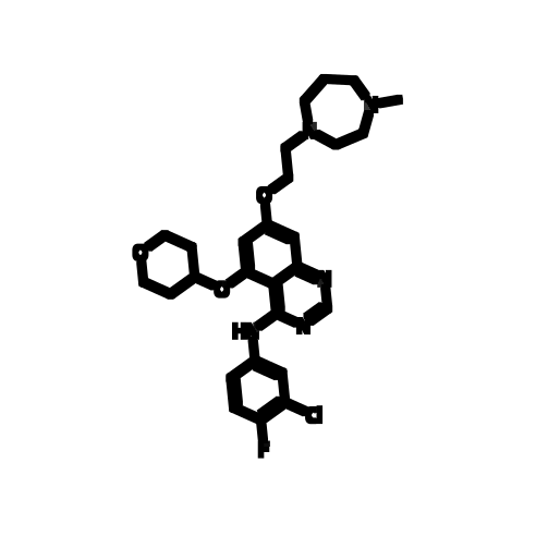 CN1CCCN(CCOc2cc(OC3CCOCC3)c3c(Nc4ccc(F)c(Cl)c4)ncnc3c2)CC1